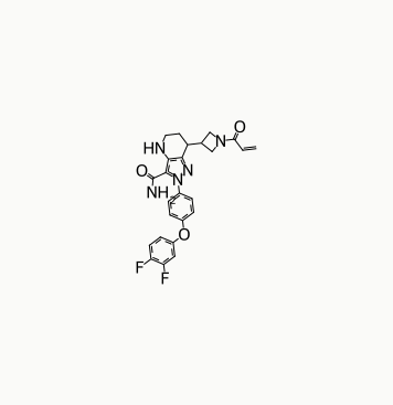 C=CC(=O)N1CC(C2CCNc3c2nn(-c2ccc(Oc4ccc(F)c(F)c4)cc2)c3C(N)=O)C1